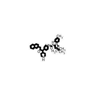 Cc1ccc(-n2nc(C(C)(C)C)cc2NC(=O)Nc2ccc(C(C(=O)Cc3ccc4ccccc4c3)C3CCNCC3)cc2)cc1